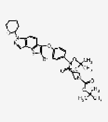 CC(C)(C)OC(=O)N1CC(C(=O)N(OC(C)(C)C)c2ccc(Oc3c(Br)sc4c3ccc3c4cnn3C3CCCCO3)cc2)C1